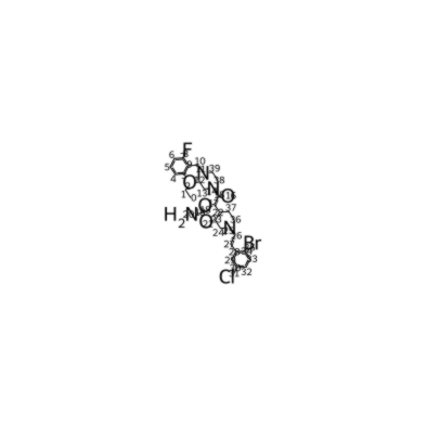 CCOc1cccc(F)c1CN1CCN(C(=O)C(OC(N)=O)C2CCN(CCc3cc(Cl)ccc3Br)CC2)CC1